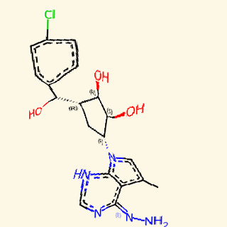 Cc1cn([C@@H]2C[C@H](C(O)c3ccc(Cl)cc3)[C@@H](O)[C@H]2O)c2[nH]cn/c(=N/N)c12